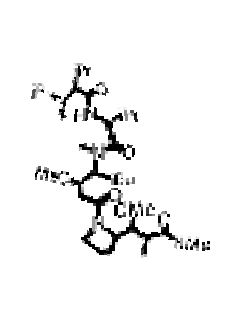 CCC(C)C(C(CC(=O)N1CCCC1C(OC)C(C)C(=O)NC)OC)N(C)C(=O)[C@@H](NC(=O)C(C(C)C)N(C)C(C)C)C(C)C